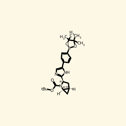 CC(C)(C)OC(=O)N1[C@@H](c2ncc(-c3ccc(B4OC(C)(C)C(C)(C)O4)cc3)[nH]2)C[C@H]2C[C@H]21